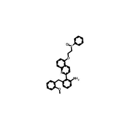 COc1ccccc1Cc1cccc(N)c1-c1ccc2c(OCC[S+]([O-])c3ccccc3)cccc2n1